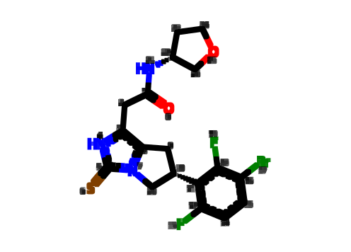 O=C(Cc1[nH]c(=S)n2c1C[C@H](c1c(F)ccc(Br)c1F)C2)N[C@@H]1CCOC1